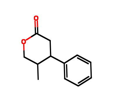 CC1COC(=O)CC1c1ccccc1